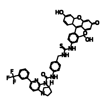 O=C1C=CC2=C(c3ccc(NC(=S)NCc4ccc(NC(=O)N5c6nc(-c7cccc(C(F)(F)F)c7)ccc6N6CC[C@H]5C6)cc4)cc3C(=O)O)C3C=CC(O)=CC3OC2=C1